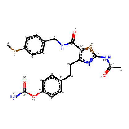 CSc1ccc(CNC(=O)c2sc(NC(C)=O)nc2CCc2ccc(OC(N)=O)cc2)cc1